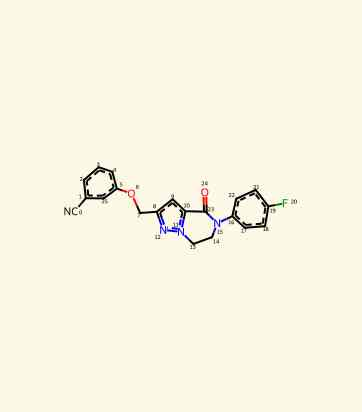 N#Cc1cccc(OCc2cc3n(n2)CCN(c2ccc(F)cc2)C3=O)c1